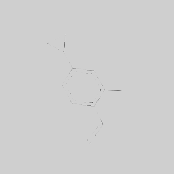 O=Cc1ccc(C2CC2)cc1Cl